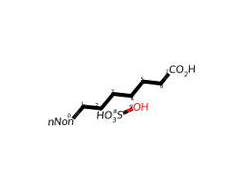 CCCCCCCCCCCCCCCC(=O)O.O=S(=O)(O)O